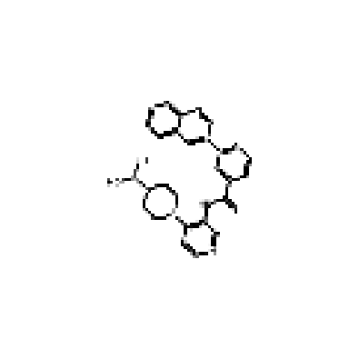 CB(O)N1CCN(c2ccncc2NC(=O)c2ccnc(-c3cnc4ccccc4c3)n2)CC1